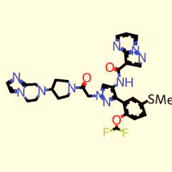 CSc1ccc(OC(F)F)c(-c2nn(CC(=O)N3CCC(N4CCn5ccnc5C4)CC3)cc2NC(=O)c2cnn3cccnc23)c1